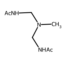 CC(=O)NCN(C)CNC(C)=O